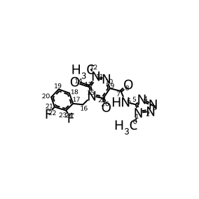 Cn1nnnc1NC(=O)c1nn(C)c(=O)n(Cc2cccc(F)c2F)c1=O